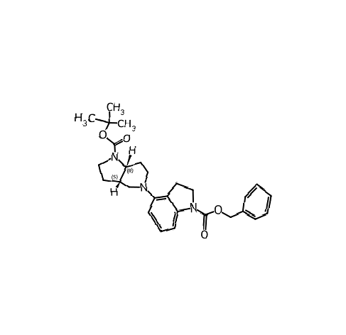 CC(C)(C)OC(=O)N1CC[C@H]2CN(c3cccc4c3CCN4C(=O)OCc3ccccc3)CC[C@H]21